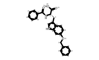 O=C(N[C@@H](Cc1c[nH]c2cc(OCc3ccccc3)ccc12)C(=O)O)c1ccccc1